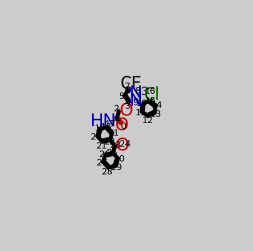 O=C(COc1cc(C(F)(F)F)nn1-c1ccccc1Cl)Nc1cccc(C(=O)c2ccccc2)c1